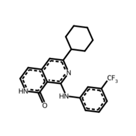 O=c1[nH]ccc2cc(C3CCCCC3)nc(Nc3cccc(C(F)(F)F)c3)c12